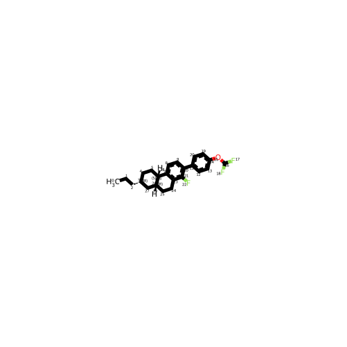 CCC[C@@H]1CC[C@@H]2c3ccc(-c4ccc(OC(F)F)cc4)c(F)c3CC[C@@H]2C1